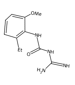 CCc1cccc(OC)c1NC(=O)NC(=N)N